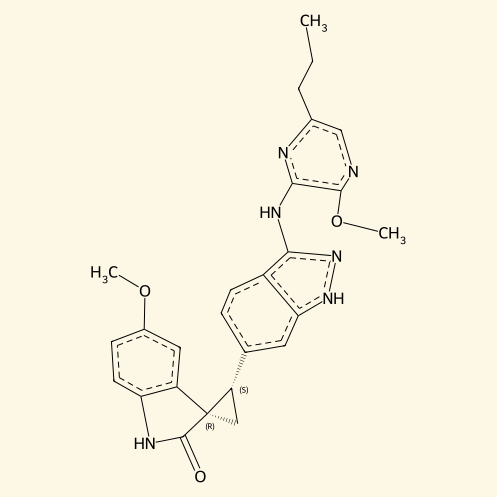 CCCc1cnc(OC)c(Nc2n[nH]c3cc([C@@H]4C[C@@]45C(=O)Nc4ccc(OC)cc45)ccc23)n1